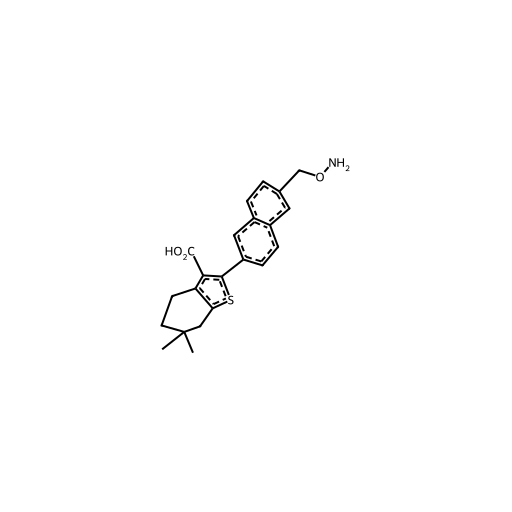 CC1(C)CCc2c(sc(-c3ccc4cc(CON)ccc4c3)c2C(=O)O)C1